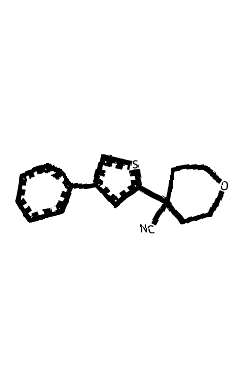 N#CC1(c2cc(-c3ccccc3)cs2)CCOCC1